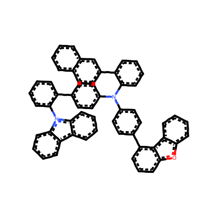 c1ccc(N(c2ccc(-c3ccccc3-n3c4ccccc4c4ccccc43)cc2)c2ccc(-c3cccc4oc5ccccc5c34)cc2)c(-c2ccc3ccccc3c2)c1